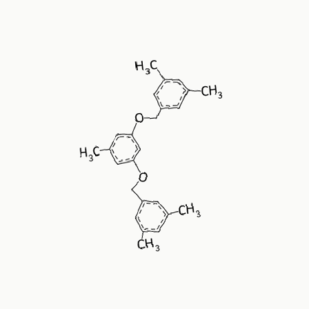 Cc1cc(C)cc(COc2cc(C)cc(OCc3cc(C)cc(C)c3)c2)c1